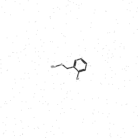 CC(C)(C)SCc1ccccc1Br